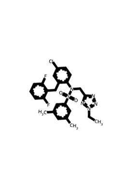 CCn1nnc(CN(c2ccc(Cl)cc2Cc2c(F)cccc2F)S(=O)(=O)c2cc(C)cc(C)c2)n1